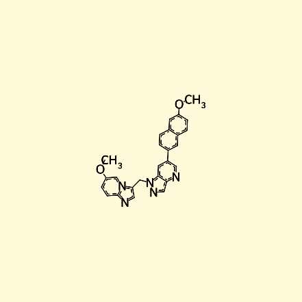 COc1ccc2cc(-c3cnc4cnn(Cc5cnc6ccc(OC)cn56)c4c3)ccc2c1